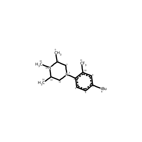 CC1CN(c2ccc(C(C)(C)C)cc2C(F)(F)F)CC(C)N1C